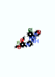 CCOc1cc(CN2CCC(Nc3nc(N4CCOCC4)c4cc(Cl)ccc4n3)CC2)cc(OCC)c1F